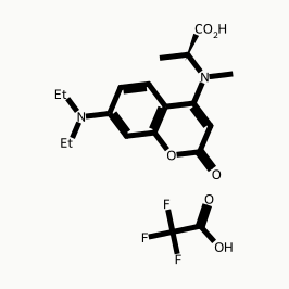 CCN(CC)c1ccc2c(N(C)[C@@H](C)C(=O)O)cc(=O)oc2c1.O=C(O)C(F)(F)F